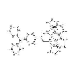 C1=C(c2ccc(N(c3ccccc3)c3ccccc3)cc2)C=C(C2=NCCS2)P(c2ccccc2)(c2ccccc2)=C1C1=NCCS1